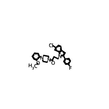 COc1ccccc1N1CCN(C(=O)CCn2c(-c3ccc(F)cc3)cc3ccc(Cl)cc32)CC1